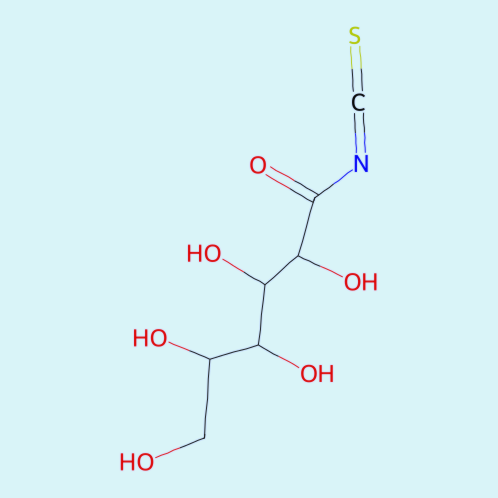 O=C(N=C=S)C(O)C(O)C(O)C(O)CO